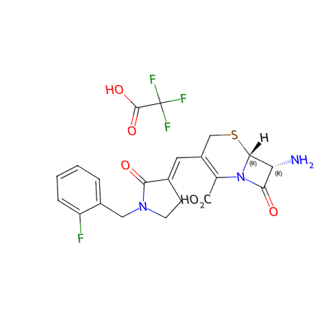 N[C@@H]1C(=O)N2C(C(=O)O)=C(C=C3CCN(Cc4ccccc4F)C3=O)CS[C@H]12.O=C(O)C(F)(F)F